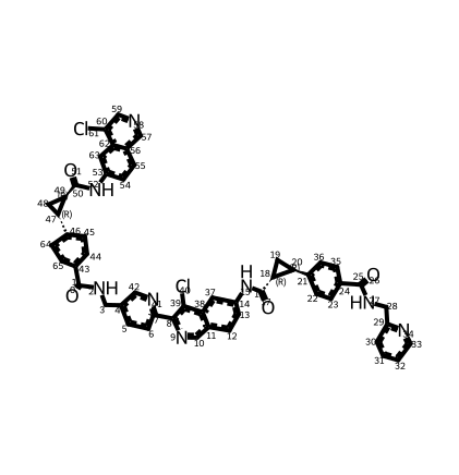 O=C(NCc1ccc(-c2ncc3ccc(NC(=O)[C@@H]4C[C@H]4c4ccc(C(=O)NCc5ccccn5)cc4)cc3c2Cl)nc1)c1ccc([C@@H]2C[C@H]2C(=O)Nc2ccc3cncc(Cl)c3c2)cc1